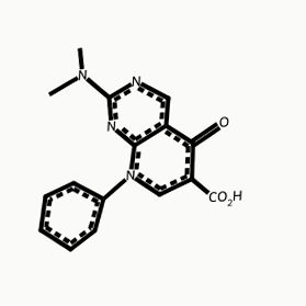 CN(C)c1ncc2c(=O)c(C(=O)O)cn(-c3ccccc3)c2n1